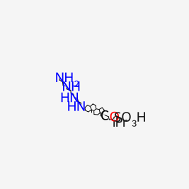 CC(C)C(CCC[C@H]1CCC2C3CCC4CC(NCCCNCCCCNCCCN)CCC4(C)C3CCC21C)OS(=O)(=O)O